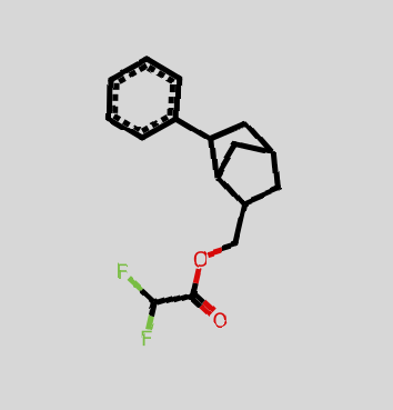 O=C(OCC1CC2CC(c3ccccc3)C1C2)C(F)F